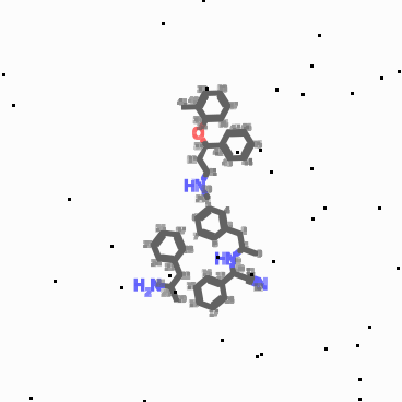 CC(Cc1ccccc1)NC(C#N)c1ccccc1.CC(N)Cc1ccccc1.CNCC[C@@H](Oc1ccccc1C)c1ccccc1